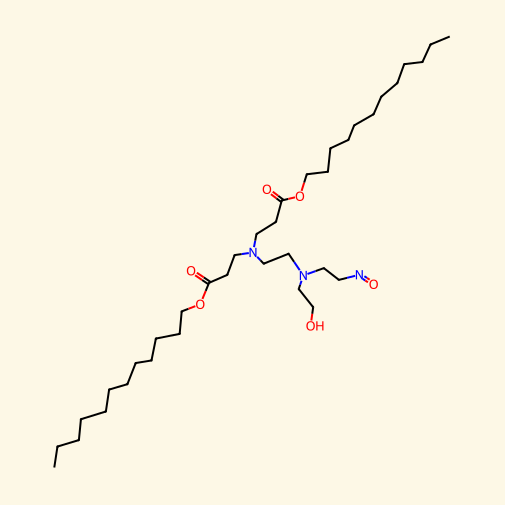 CCCCCCCCCCCCOC(=O)CCN(CCC(=O)OCCCCCCCCCCCC)CCN(CCO)CCN=O